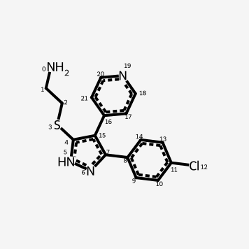 NCCSc1[nH]nc(-c2ccc(Cl)cc2)c1-c1ccncc1